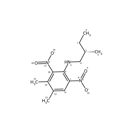 CC[C@H](C)CNc1c([N+](=O)[O-])cc(C)c(C)c1[N+](=O)[O-]